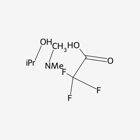 CC(C)O.CNC.O=C(O)C(F)(F)F